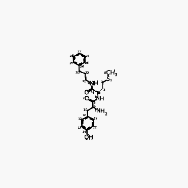 CSCC[C@H](NC(=O)C(N)Cc1ccc(O)cc1)C(=O)NCCCc1ccccc1